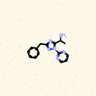 CC(N)c1nc(Cc2ccccc2)nn1-c1ncccn1